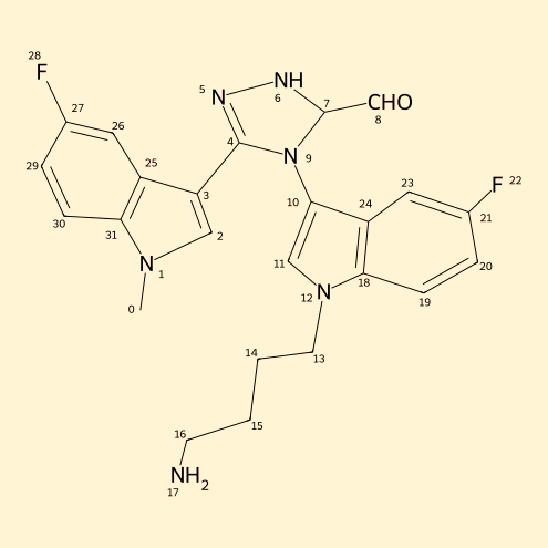 Cn1cc(C2=NNC(C=O)N2c2cn(CCCCN)c3ccc(F)cc23)c2cc(F)ccc21